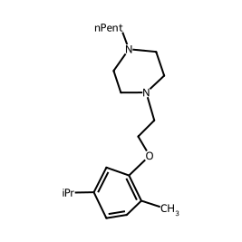 CCCCCN1CCN(CCOc2cc(C(C)C)ccc2C)CC1